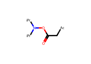 CC(=O)CC(=O)ON(C(C)C)C(C)C